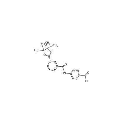 CC1(C)OB(c2cccc(C(=O)Nc3ccc(C(=O)O)cc3)c2)OC1(C)C